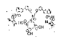 N#C[C@@H]1CC(F)(F)CN1C(=O)CNC(=O)c1ccnc2cc(-c3cccc(OCCCN(CCCOc4cccc(-c5ccc6c(C(=O)NCC(=O)N7CC(F)(F)C[C@H]7C#N)ccnc6c5)c4)C(=O)CN4CCN(CC(=O)O)CCN(CC(=O)O)CCN(CC(=O)O)CC4)c3)ccc12